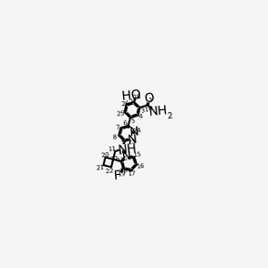 NC(=O)c1cc(-c2ccc(NCC3(c4ncccc4F)CCC3)nn2)ccc1O